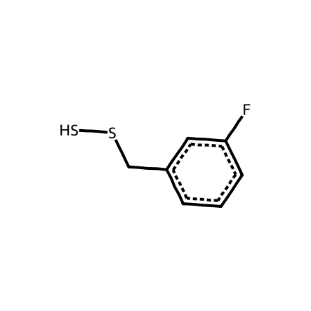 Fc1cccc(CSS)c1